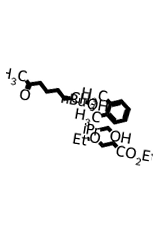 CC(C)CO.CCCCCC(C)=O.CCCCO.CCOCCC(=O)OCC.Cc1ccccc1C